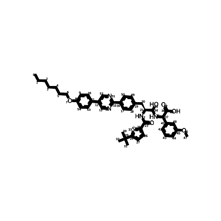 CCCCCCCOc1ccc(-c2cnc(-c3ccc(C[C@H](NC(=O)c4ccc(C(C)(C)C)s4)C(O)NC(C(=O)O)c4cccc(OC)c4)cc3)nc2)cc1